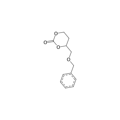 O=C1OCCC(COCc2ccccc2)O1